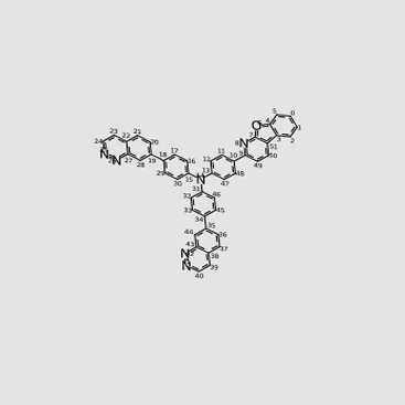 c1ccc2c(c1)oc1nc(-c3ccc(N(c4ccc(-c5ccc6ccnnc6c5)cc4)c4ccc(-c5ccc6ccnnc6c5)cc4)cc3)ccc12